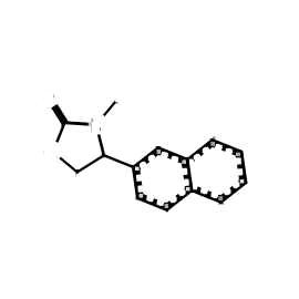 CN1C(=O)SCC1c1ccc2ccccc2c1